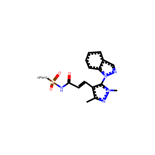 CCCCCS(=O)(=O)NC(=O)/C=C/c1c(C)nn(C)c1-n1ncc2ccccc21